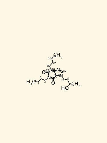 CCCCn1c(=O)c2c(ncn2CC[C@H](C)O)n(CCCC)c1=O